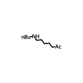 CCCCNCCCCCC(C)=O